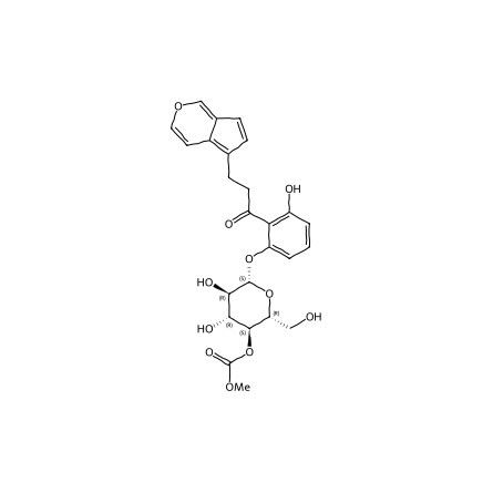 COC(=O)O[C@H]1[C@H](O)[C@@H](O)[C@H](Oc2cccc(O)c2C(=O)CCc2ccc3coccc2-3)O[C@@H]1CO